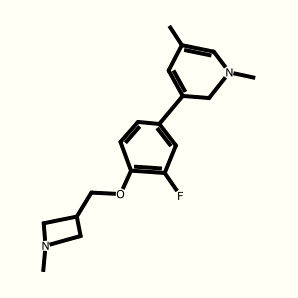 CC1=CN(C)CC(c2ccc(OCC3CN(C)C3)c(F)c2)=C1